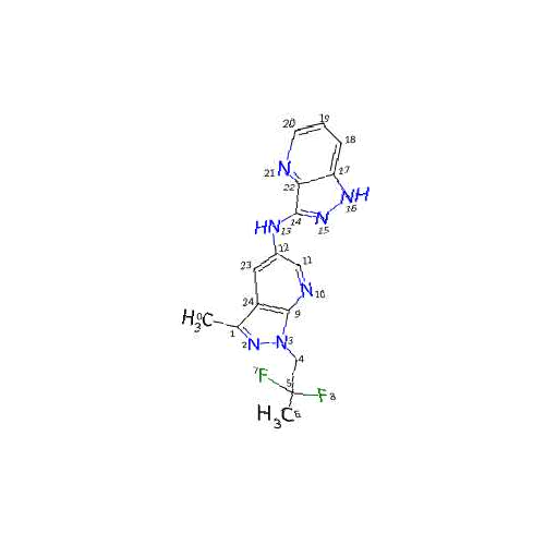 Cc1nn(CC(C)(F)F)c2ncc(Nc3n[nH]c4cccnc34)cc12